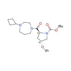 CC(C)O[C@@H]1C[C@@H](C(=O)N2CCCN(C3CCC3)CC2)N(C(=O)OC(C)(C)C)C1